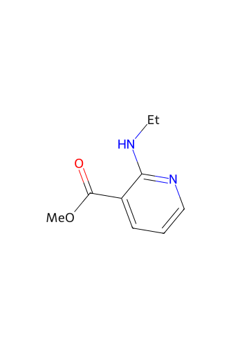 CCNc1ncccc1C(=O)OC